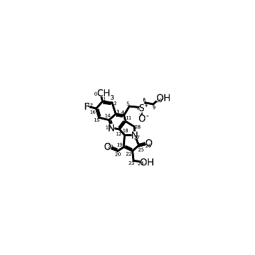 Cc1cc2c(C[S@@+]([O-])CCO)c3c(nc2cc1F)C1C(C=O)=C(CO)C(=O)N1C3